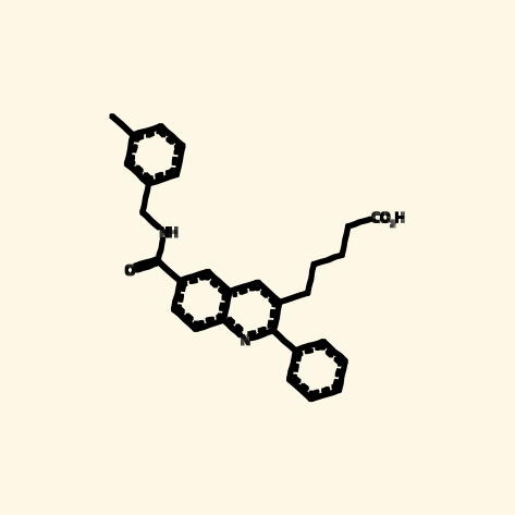 Cc1cccc(CNC(=O)c2ccc3nc(-c4ccccc4)c(CCCCC(=O)O)cc3c2)c1